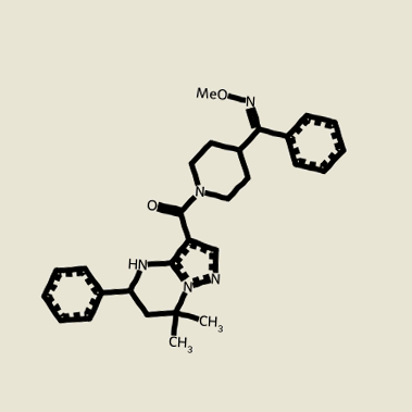 CO/N=C(/c1ccccc1)C1CCN(C(=O)c2cnn3c2NC(c2ccccc2)CC3(C)C)CC1